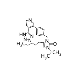 CCCCCc1cn(C(C)C)c(=O)n1Cc1ccc(-c2cnccc2-c2nnn[nH]2)cc1